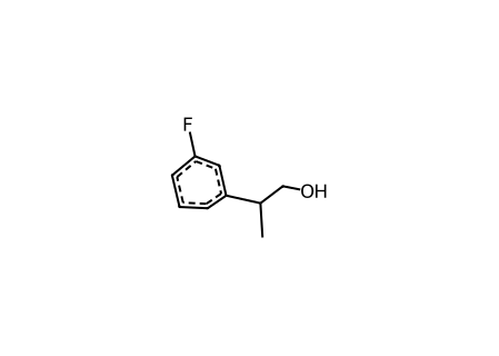 CC(CO)c1cccc(F)c1